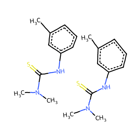 Cc1cccc(NC(=S)N(C)C)c1.Cc1cccc(NC(=S)N(C)C)c1